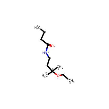 CCCC(=O)NCCC(C)(C)OCC